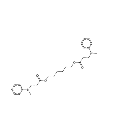 CN(CCC(=O)OCCCCCCOC(=O)CCN(C)c1ccccc1)c1ccccc1